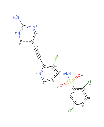 Nc1ncc(C#Cc2nccc(NS(=O)(=O)c3cc(Cl)ccc3Cl)c2F)cn1